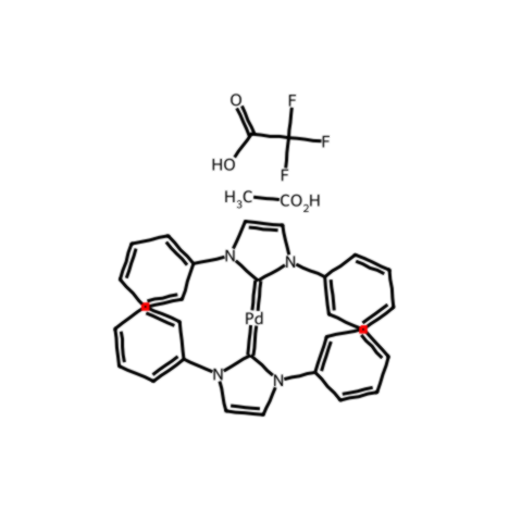 CC(=O)O.O=C(O)C(F)(F)F.c1ccc(-n2ccn(-c3ccccc3)[c]2=[Pd]=[c]2n(-c3ccccc3)ccn2-c2ccccc2)cc1